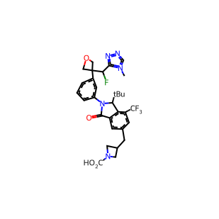 Cn1cnnc1C(F)C1(c2cccc(N3C(=O)c4cc(CC5CN(C(=O)O)C5)cc(C(F)(F)F)c4C3C(C)(C)C)c2)COC1